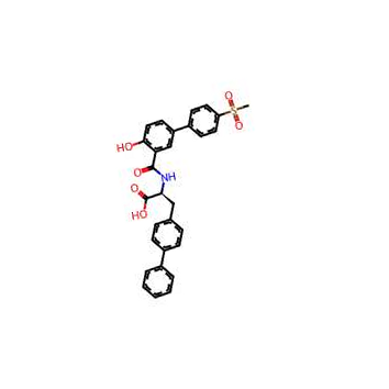 CS(=O)(=O)c1ccc(-c2ccc(O)c(C(=O)N[C@@H](Cc3ccc(-c4ccccc4)cc3)C(=O)O)c2)cc1